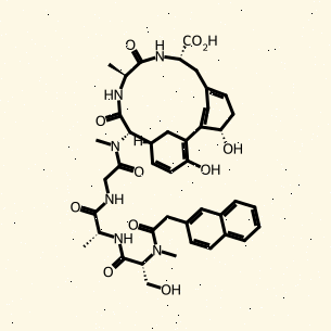 C[C@@H]1NC(=O)[C@@H](N(C)C(=O)CNC(=O)[C@@H](C)NC(=O)[C@@H](CO)N(C)C(=O)Cc2ccc3ccccc3c2)[C@H]2C=CC(O)=C(C2)C2=CC(=CC[C@@H]2O)C[C@@H](C(=O)O)NC1=O